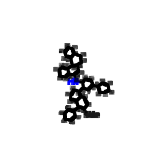 CSc1ccc2c(C3C=C(c4ccccc4)C=CC3Nc3cc4ccc5ccccc5c4c4ccccc34)cccc2c1-c1ccccc1